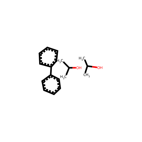 CC(C)O.CC(C)O.c1ccc(-c2ccccc2)cc1